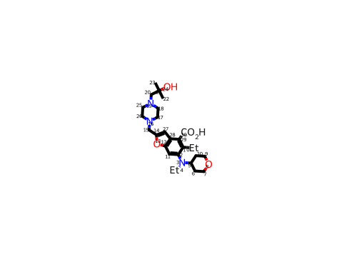 CCc1c(N(CC)C2CCOCC2)cc2oc(CN3CCN(CC(C)(C)O)CC3)cc2c1C(=O)O